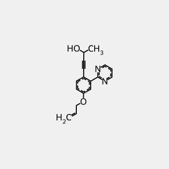 C=CCOc1ccc(C#CC(C)O)c(-c2ncccn2)c1